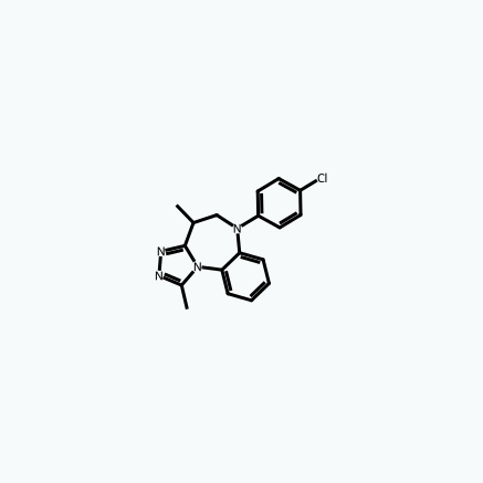 Cc1nnc2n1-c1ccccc1N(c1ccc(Cl)cc1)CC2C